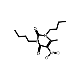 CCCCn1c(C)c([N+](=O)[O-])c(=O)n(CCCC)c1=O